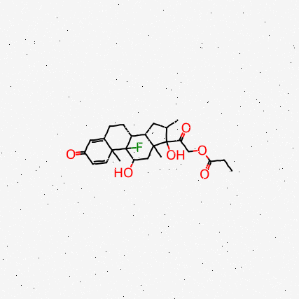 CCC(=O)OCC(=O)C1(O)C(C)CC2C3CCC4=CC(=O)C=CC4(C)C3(F)C(O)CC21C